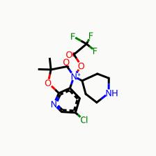 CC1(C)Oc2ncc(Cl)cc2[N+](OC(=O)C(F)(F)F)(C2CCNCC2)C1=O